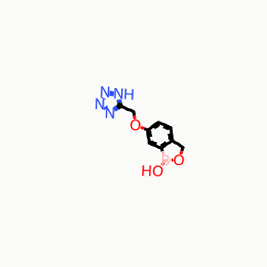 OB1OCc2ccc(OCc3nnn[nH]3)cc21